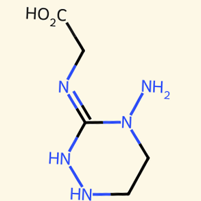 NN1CCNN/C1=N/CC(=O)O